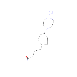 NC(=O)CCCC1CCC(N2CCN(N)CC2)CC1